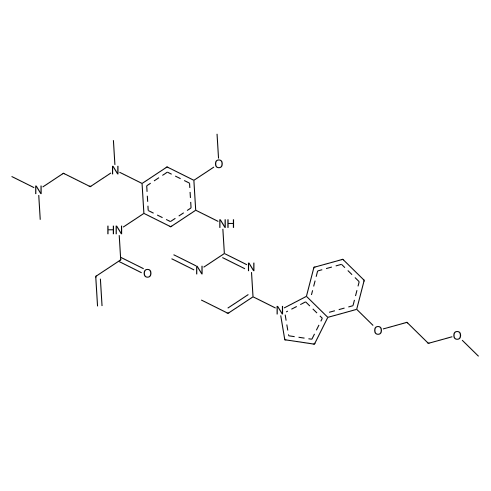 C=CC(=O)Nc1cc(N/C(N=C)=N/C(=C\C)n2ccc3c(OCCOC)cccc32)c(OC)cc1N(C)CCN(C)C